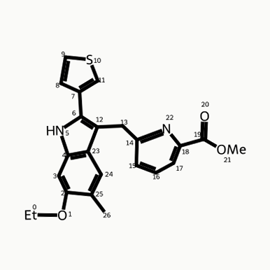 CCOc1cc2[nH]c(-c3ccsc3)c(Cc3cccc(C(=O)OC)n3)c2cc1C